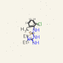 CCN(CC)C(=N)NC(=S)Nc1c(C)cccc1Cl